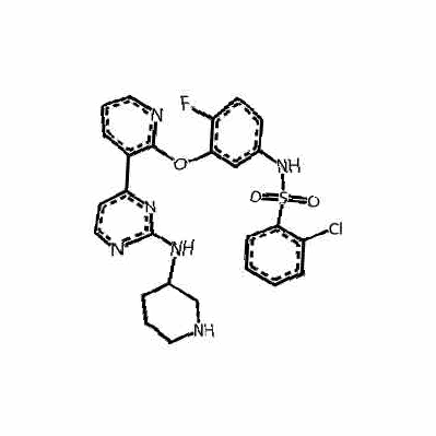 O=S(=O)(Nc1ccc(F)c(Oc2ncccc2-c2ccnc(NC3CCCNC3)n2)c1)c1ccccc1Cl